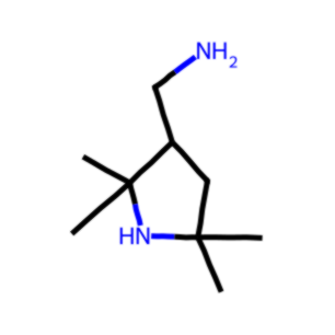 CC1(C)CC(CN)C(C)(C)N1